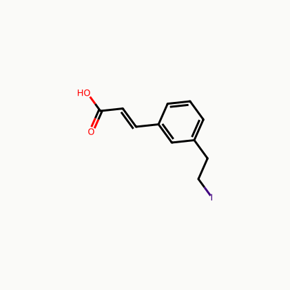 O=C(O)C=Cc1cccc(CCI)c1